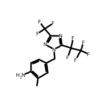 Cc1cc(Cn2nc(C(F)(F)F)nc2C(F)(F)C(F)(F)F)ccc1N